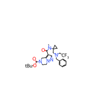 CN(C(=O)c1cnn2c1CN(C(=O)OC(C)(C)C)CC2)C1(CN(Cc2ccccc2)CC(F)(F)F)CC1